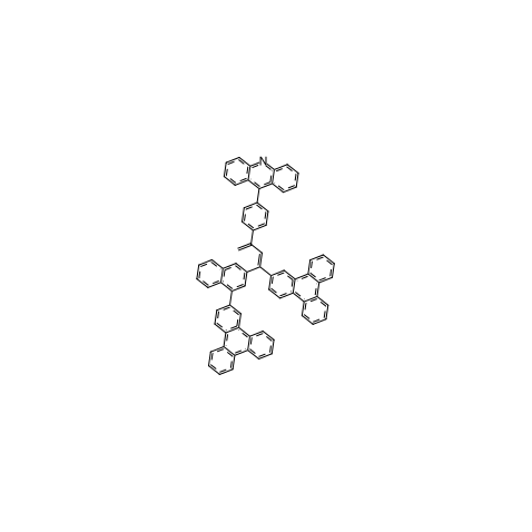 C=C(/C=C(\c1cc(-c2ccc3c4ccccc4c4ccccc4c3c2)c2ccccc2c1)c1ccc2c3ccccc3c3ccccc3c2c1)c1ccc(-c2c3ccccc3nc3ccccc23)cc1